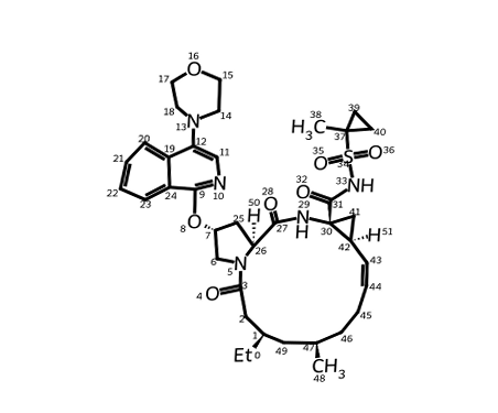 CC[C@H]1CC(=O)N2C[C@H](Oc3ncc(N4CCOCC4)c4ccccc34)C[C@H]2C(=O)N[C@]2(C(=O)NS(=O)(=O)C3(C)CC3)C[C@H]2/C=C\CC[C@@H](C)C1